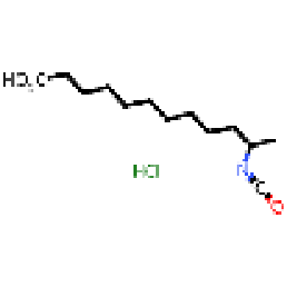 CC(CCCCCCCCCC(=O)O)N=C=O.Cl